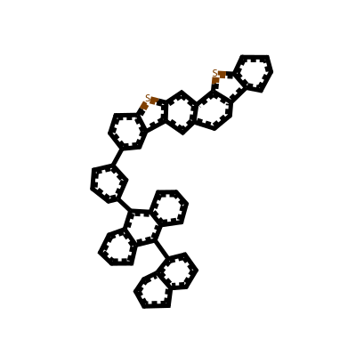 c1cc(-c2ccc3sc4cc5c(ccc6c7ccccc7sc56)cc4c3c2)cc(-c2c3ccccc3c(-c3cccc4ccccc34)c3ccccc23)c1